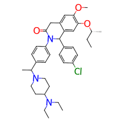 CC[C@@H](C)Oc1cc2c(cc1OC)CC(=O)N(c1ccc(C(C)N3CCC(N(CC)CC)CC3)cc1)C2c1ccc(Cl)cc1